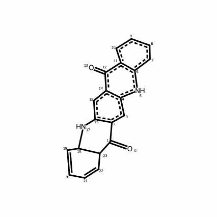 O=C1c2cc3[nH]c4ccccc4c(=O)c3cc2NC2C=CC=CC12